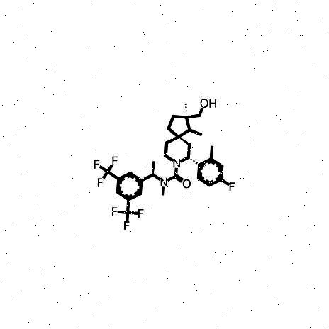 Cc1cc(F)ccc1[C@H]1C[C@@]2(CCN1C(=O)N(C)[C@H](C)c1cc(C(F)(F)F)cc(C(F)(F)F)c1)CC[C@@](C)(CO)C2C